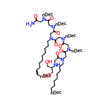 CCCCCCCC/C=C\CCCCCCCCN(CC(=O)N(CCCCCCCCCC)CC(=O)N(CCCCCCCCCC)CC(N)=O)C(=O)CN(CCCCCCCCCC)C(=O)CN(CCCCCCCCCC)C(=O)CN(CCCCCCCCCCCCCCCCCC)C(=O)CNC(CO)CO